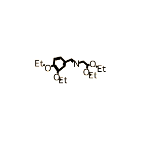 CCOc1ccc(C=NCC(OCC)OCC)cc1OCC